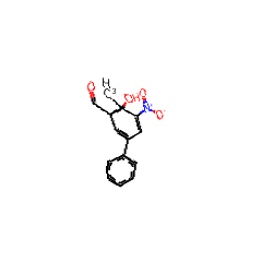 CC1(O)C([N+](=O)[O-])=CC(c2ccccc2)=CC1C=O